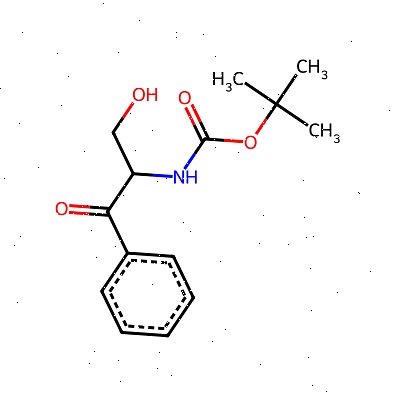 CC(C)(C)OC(=O)NC(CO)C(=O)c1ccccc1